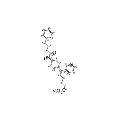 O=C(O)CCCC=C(c1ccc(NC(=O)CCCc2ccccc2)cc1)c1cccnc1